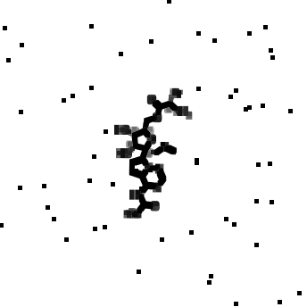 C=NC[C@@]1(c2ccc3c(NC(=O)CCCC)ncnn23)O[C@H](COC(=O)[C@@H](N)C(C)C)[C@@H](O)[C@H]1O